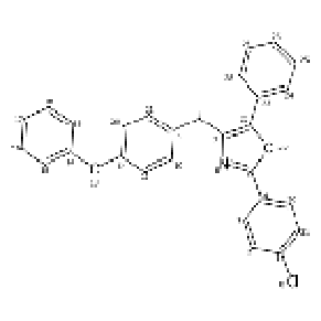 Clc1ccc(-c2nc(Cc3ccc(Oc4ccccc4)cc3)c(-c3ccccc3)o2)cc1